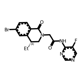 CC[C@H]1CN(CC(=O)Nc2ncncc2F)C(=O)c2ccc(Br)cc21